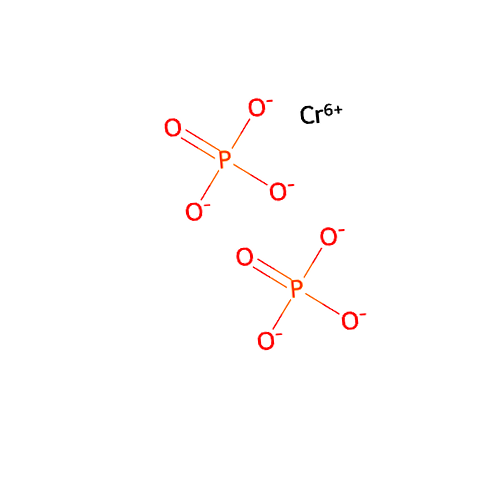 O=P([O-])([O-])[O-].O=P([O-])([O-])[O-].[Cr+6]